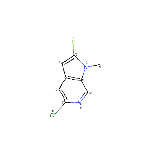 Cn1c(F)cc2cc(Cl)ncc21